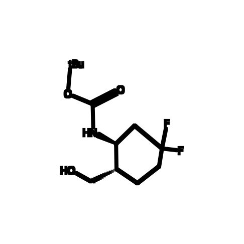 CC(C)(C)OC(=O)N[C@H]1CC(F)(F)CC[C@@H]1CO